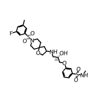 CNS(=O)(=O)c1cccc(OC[C@@H](O)CNC2COC3(CCN(S(=O)(=O)c4cc(C)cc(F)c4)CC3)C2)c1